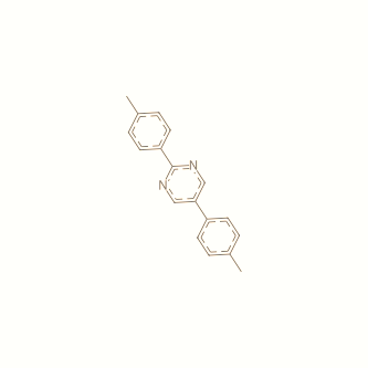 Cc1ccc(-c2cnc(-c3ccc(C)cc3)nc2)cc1